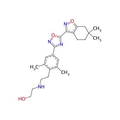 Cc1cc(-c2noc(-c3noc4c3CCC(C)(C)C4)n2)cc(C)c1CCNCCO